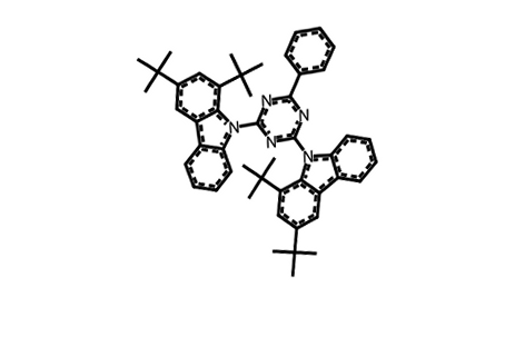 CC(C)(C)c1cc(C(C)(C)C)c2c(c1)c1ccccc1n2-c1nc(-c2ccccc2)nc(-n2c3ccccc3c3cc(C(C)(C)C)cc(C(C)(C)C)c32)n1